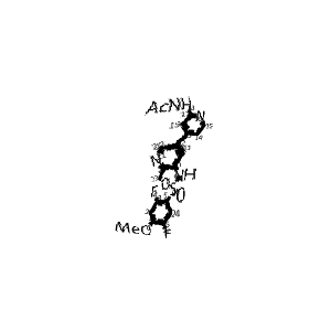 COc1cc(F)c(S(=O)(=O)Nc2cc(-c3ccnc(NC(C)=O)c3)cnc2C)cc1F